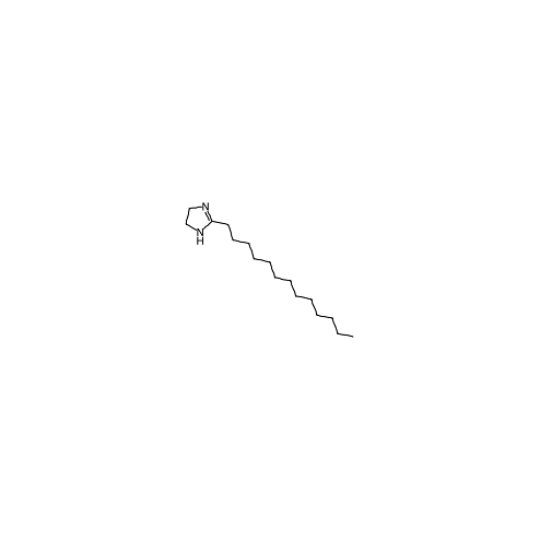 CCCCCCCCCCCCCC1=NCCN1